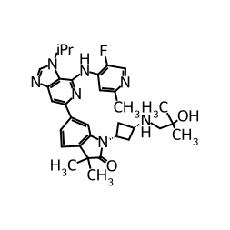 Cc1cc(Nc2nc(-c3ccc4c(c3)N([C@H]3C[C@@H](NCC(C)(C)O)C3)C(=O)C4(C)C)cc3ncn(C(C)C)c23)c(F)cn1